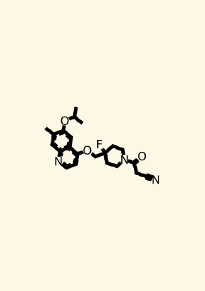 Cc1cc2nccc(OCC3(F)CCN(C(=O)CC#N)CC3)c2cc1OC(C)C